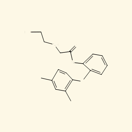 Cc1ccc(Sc2ccccc2NC(=O)CNCCO)c(C)c1